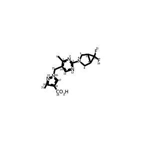 Cc1nc(N2CC3C(C2)C3(F)F)ncc1Cn1cc(C(=O)O)c(C)n1